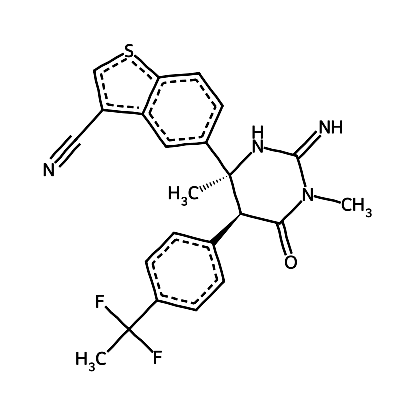 CN1C(=N)N[C@](C)(c2ccc3scc(C#N)c3c2)[C@H](c2ccc(C(C)(F)F)cc2)C1=O